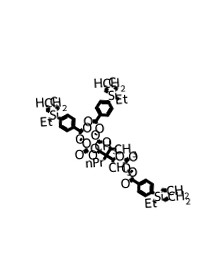 C=C[Si](C=C)(CC)c1ccc(C(=O)OOC(=O)OC(C)C(CCC)(C(C)OC(=O)OOC(=O)c2ccc([Si](C=C)(C=C)CC)cc2)C(C)OC(=O)OOC(=O)c2ccc([Si](C=C)(C=C)CC)cc2)cc1